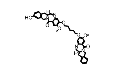 COc1cc2c(cc1OCCCCCOc1cc3c(cc1OC)C(=O)N1Cc4cc(O)ccc4C[C@H]1C=N3)N=C[C@@H]1Cc3ccccc3CN1C2=O